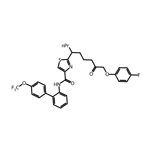 CCCC(CCCC(=O)COc1ccc(F)cc1)c1nc(C(=O)Nc2ccccc2-c2ccc(OC(F)(F)F)cc2)cs1